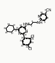 N#Cc1ccc(NCCNc2cc(C3CCCCC3)nc(-c3ccc(Cl)cc3Cl)n2)nc1